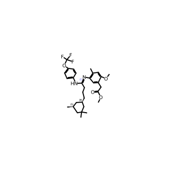 COC(=O)Cc1cc(/N=C(\CCC[C@@H]2C[C@H](C)CC(C)(C)C2)Nc2ccc(OC(F)(F)F)cc2)c(C)cc1OC